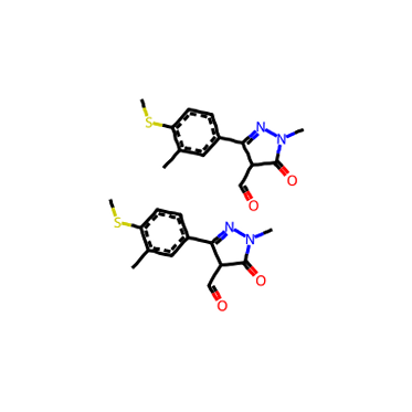 CSc1ccc(C2=NN(C)C(=O)C2C=O)cc1C.CSc1ccc(C2=NN(C)C(=O)C2C=O)cc1C